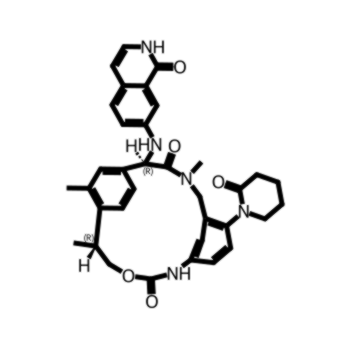 Cc1cc2ccc1[C@@H](C)COC(=O)Nc1ccc(N3CCCCC3=O)c(c1)CN(C)C(=O)[C@@H]2Nc1ccc2cc[nH]c(=O)c2c1